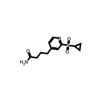 NC(=O)CC[CH]c1ccnc(S(=O)(=O)C2CC2)c1